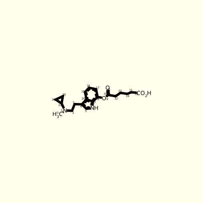 CN(CCc1c[nH]c2c(OC(=O)CCCCC(=O)O)cccc12)C1CC1